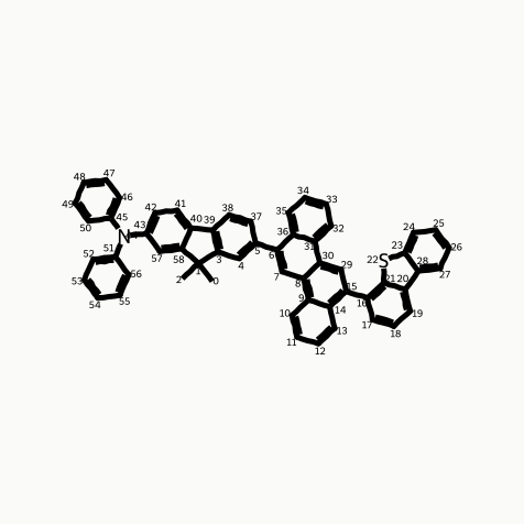 CC1(C)c2cc(-c3cc4c5ccccc5c(-c5cccc6c5sc5ccccc56)cc4c4ccccc34)ccc2-c2ccc(N(c3ccccc3)c3ccccc3)cc21